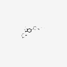 Cn1nc(N2CCC(=O)NC2=O)c2ccc(C3CCN(C(=O)OC(C)(C)C)C3)cc21